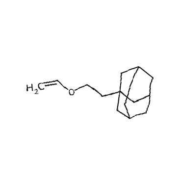 C=COCCC12CC3CC(CC(C3)C1)C2